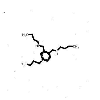 CCCCPCc1ccc(CCCC)cc1CPCCCC